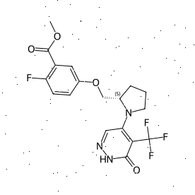 COC(=O)c1cc(OC[C@@H]2CCCN2c2cn[nH]c(=O)c2C(F)(F)F)ccc1F